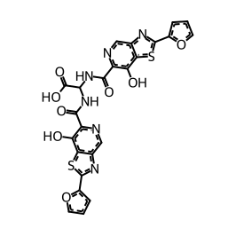 O=C(NC(NC(=O)c1ncc2nc(-c3ccco3)sc2c1O)C(=O)O)c1ncc2nc(-c3ccco3)sc2c1O